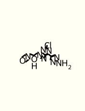 Nc1ncc(-c2nc(Cl)nc3c2ncn3CC(O)CN2CCOCC2)cn1